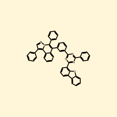 c1ccc(-c2nc(-c3cccc(-c4c(-c5ccccc5)n5ncc(-c6ccccc6)c5c5ccccc45)c3)nc(-c3cccc4c3oc3ccccc34)n2)cc1